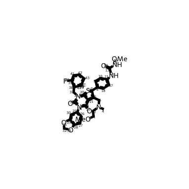 COCCN(C)Cc1c(-c2ccc(NC(=O)NOC)cc2)sc2c1c(=O)n(-c1ccc3c(c1)OCO3)c(=O)n2Cc1c(F)cccc1F